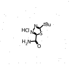 CC(C)(C)c1nnc(C(N)=O)s1.Cl